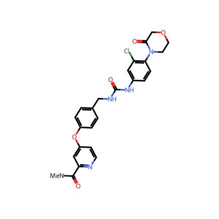 CNC(=O)c1cc(Oc2ccc(CNC(=O)Nc3ccc(N4CCOCC4=O)c(Cl)c3)cc2)ccn1